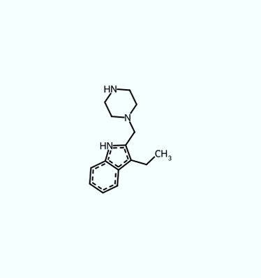 CCc1c(CN2CCNCC2)[nH]c2ccccc12